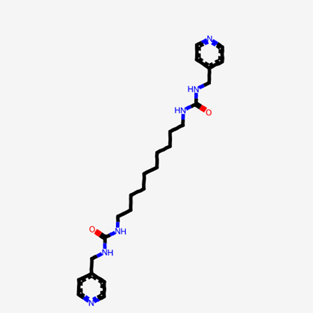 O=C(NCCCCCCCCCCNC(=O)NCc1ccncc1)NCc1ccncc1